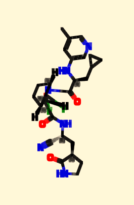 Cc1cncc(N[C@@H](CC2CC2)C(=O)N2[C@H]3CC[C@@H]([C@H]2C(=O)N[C@@H](C#N)C[C@H]2CCNC2=O)C(F)(F)C3)c1